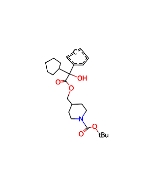 CC(C)(C)OC(=O)N1CCC(COC(=O)C(O)(c2ccccc2)C2CCCCC2)CC1